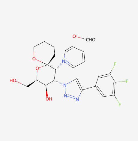 O=C[O-].OC[C@H]1O[C@@]2(CCCCO2)[C@H]([n+]2ccccc2)[C@H](n2cc(-c3cc(F)c(F)c(F)c3)nn2)[C@H]1O